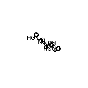 O=C(NCc1nc(Cc2ccccc2O)co1)[C@H](O)[C@@H](O)C(=O)N1CCc2ccccc21